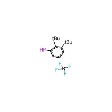 CC(C)(C)c1cccc([IH+])c1C(C)(C)C.F[B-](F)(F)F